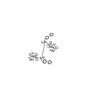 CN[C@@H](C)C(=O)NC(C(=O)N1CCC[C@H]1CN(Cc1ccc(-c2ccccc2)cc1)C(=O)CCCCCCCCC(=O)N(Cc1ccc(-c2ccccc2)cc1)C[C@@H]1CCCN1C(=O)[C@@H](NC(=O)[C@H](C)NC)C(C)(C)C)C(C)(C)C